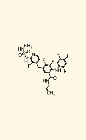 C=CCNC(=O)c1cc(Cc2ccnc(NS(=O)(=O)NC)c2F)c(F)c(F)c1Nc1cc(F)c(I)cc1F